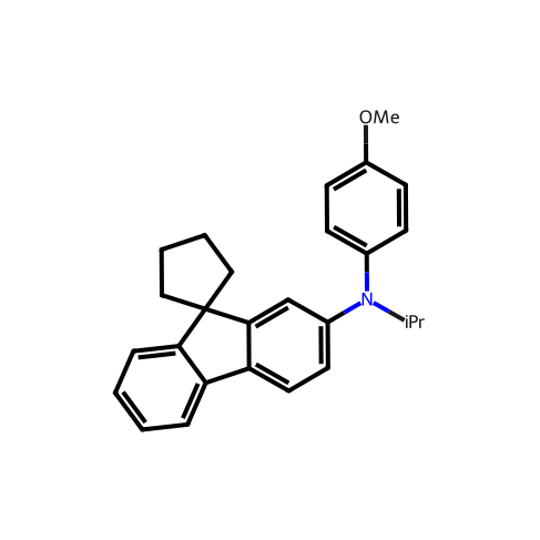 COc1ccc(N(c2ccc3c(c2)C2(CCCC2)c2ccccc2-3)C(C)C)cc1